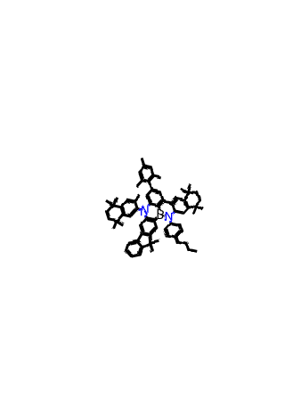 CCCCc1ccc(N2B3c4cc5c(cc4N(c4cc6c(cc4C)C(C)(C)CCC6(C)C)c4cc(-c6c(C)cc(C)cc6C)cc(c43)-c3cc4c(cc32)C(C)(C)CCC4(C)C)-c2ccccc2C5(C)C)cc1